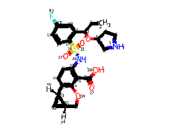 CCC(OC1CCNC1)c1cc(F)ccc1S(=O)(=O)Nc1ccc2c(c1C(=O)O)OC[C@@H]1C[C@H]21